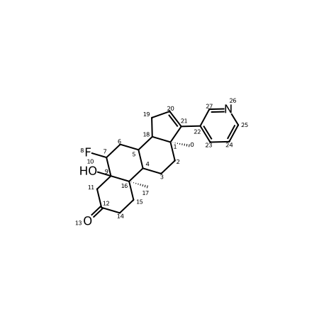 C[C@]12CCC3C(CC(F)C4(O)CC(=O)CC[C@]34C)C1CC=C2c1cccnc1